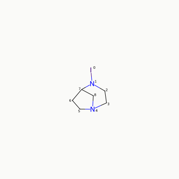 IN1CCN2CCC1C2